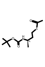 CC(=O)SCC[C@@H](C)NC(=O)OC(C)(C)C